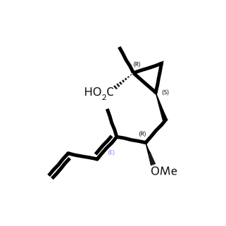 C=C/C=C(\C)[C@@H](C[C@@H]1C[C@@]1(C)C(=O)O)OC